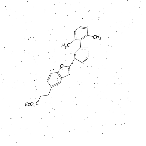 CCOC(=O)CCc1ccc2oc(-c3cccc(-c4c(C)cccc4C)c3)cc2c1